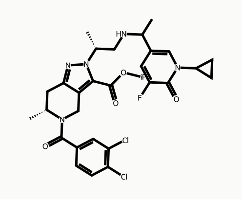 CC(C)OC(=O)c1c2c(nn1[C@H](C)CNC(C)c1cc(F)c(=O)n(C3CC3)c1)C[C@@H](C)N(C(=O)c1ccc(Cl)c(Cl)c1)C2